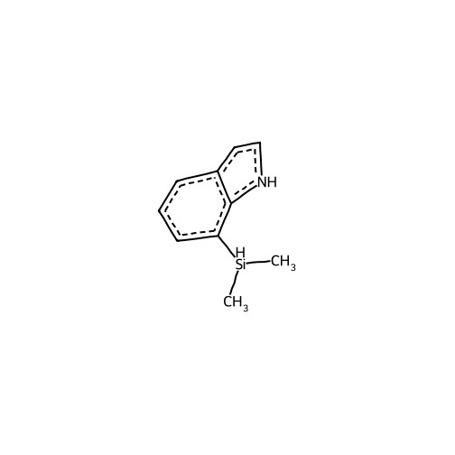 C[SiH](C)c1cccc2cc[nH]c12